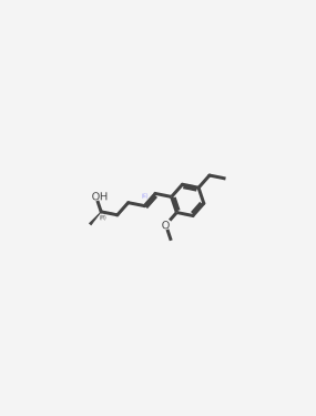 CCc1ccc(OC)c(/C=C/CC[C@@H](C)O)c1